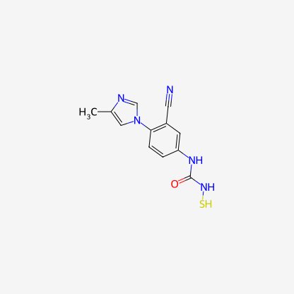 Cc1cn(-c2ccc(NC(=O)NS)cc2C#N)cn1